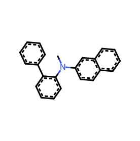 CN(c1ccc2ccccc2c1)c1ccccc1-c1ccccc1